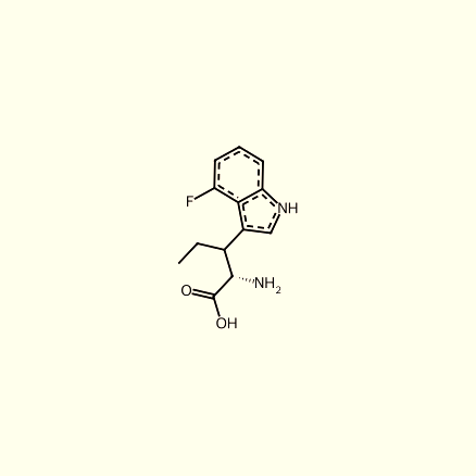 CCC(c1c[nH]c2cccc(F)c12)[C@H](N)C(=O)O